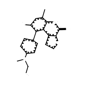 Cc1cc(O)c(-c2ccc(N(C)CC#N)cc2)c2c1[nH]c(=O)c1sccc12